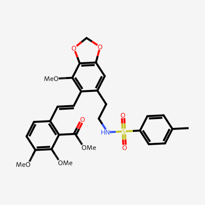 COC(=O)c1c(/C=C/c2c(CCNS(=O)(=O)c3ccc(C)cc3)cc3c(c2OC)OCO3)ccc(OC)c1OC